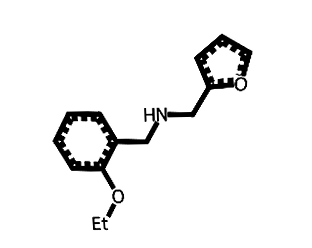 CCOc1ccccc1CNCc1ccco1